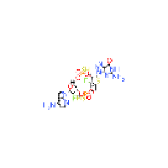 Nc1nc2c(nnn2[C@@H]2S[C@@H]3COP(=O)(S)O[C@H]4[C@H](F)[C@H](n5ccc6c(N)ccnc65)O[C@@H]4COP(=O)(S)O[C@@H]2[C@@H]3F)c(=O)[nH]1